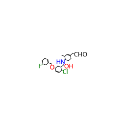 CC1C=C(CC=O)CCC1NC(O)C1CC(OCC2=CCCC(F)C2)C=CC1Cl